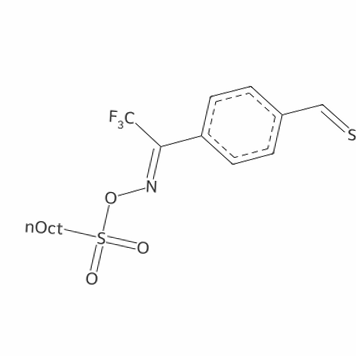 CCCCCCCCS(=O)(=O)ON=C(c1ccc(C=S)cc1)C(F)(F)F